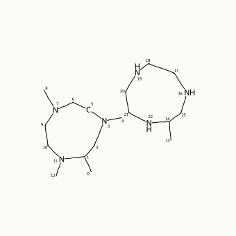 CC1CN(C)CCN(C)CCN1C.CC1CNCCNCCN1